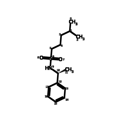 CC(C)CCCS(=O)(=O)N[C@H](C)c1ccccc1